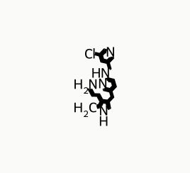 C=c1[nH]cc(Cc2ccc(NCc3cncc(Cl)c3)nc2)/c1=C/C=C\N